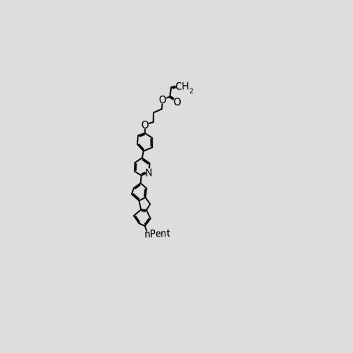 C=CC(=O)OCCCOc1ccc(-c2ccc(-c3ccc4c(c3)Cc3cc(CCCCC)ccc3-4)nc2)cc1